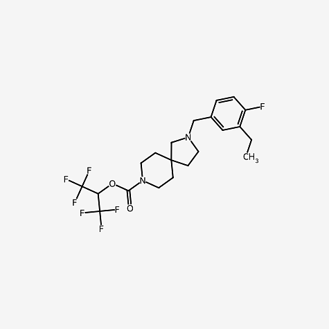 CCc1cc(CN2CCC3(CCN(C(=O)OC(C(F)(F)F)C(F)(F)F)CC3)C2)ccc1F